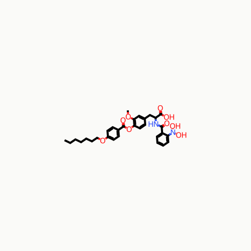 CCCCCCCOc1ccc(C(=O)Oc2ccc(CC(NC(=O)c3ccccc3N(O)O)C(=O)O)cc2OC)cc1